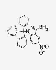 Bc1nn(C(c2ccccc2)(c2ccccc2)c2ccccc2)c2ccc([N+](=O)[O-])cc12